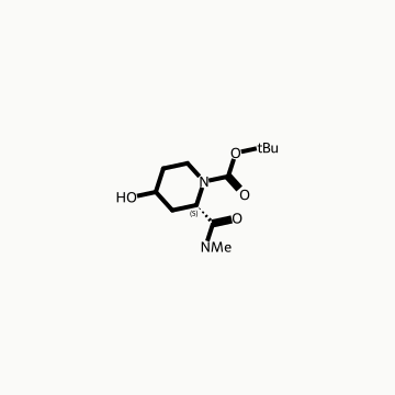 CNC(=O)[C@@H]1CC(O)CCN1C(=O)OC(C)(C)C